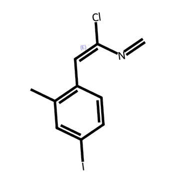 C=N/C(Cl)=C\c1ccc(I)cc1C